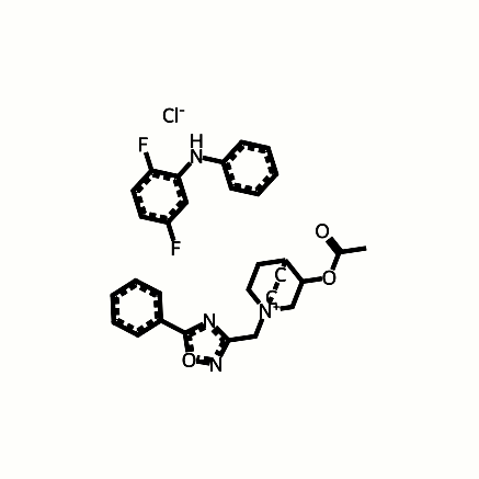 CC(=O)OC1C[N+]2(Cc3noc(-c4ccccc4)n3)CCC1CC2.Fc1ccc(F)c(Nc2ccccc2)c1.[Cl-]